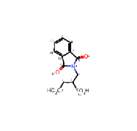 O=C(O)CC(CN1C(=O)c2ccccc2C1=O)S(=O)(=O)O